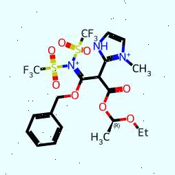 CCO[C@@H](C)OC(=O)C(C(OCc1ccccc1)=[N+](S(=O)(=O)C(F)(F)F)S(=O)(=O)C(F)(F)F)c1[nH]cc[n+]1C